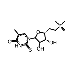 C=P(C)(C)CC[C@H]1OC(n2cc(C)c(=O)[nH]c2=S)[C@H](O)[C@@H]1O